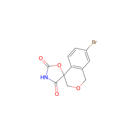 O=C1NC(=O)C2(COCc3cc(Br)ccc32)O1